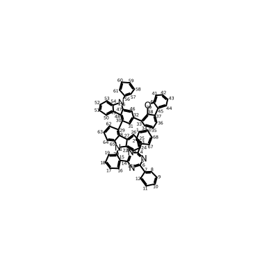 c1ccc(-c2nc(-c3ccccc3)nc(-c3ccccc3-n3c4ccccc4c4c(-c5cc(-c6cccc7c6oc6ccccc67)cc6c5c5ccccc5n6-c5ccccc5)cccc43)n2)cc1